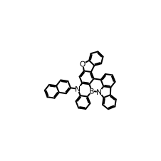 c1ccc2c(c1)B1c3c(cc4oc5ccccc5c4c3-c3cccc4c5ccccc5n1c34)N2c1ccc2ccccc2c1